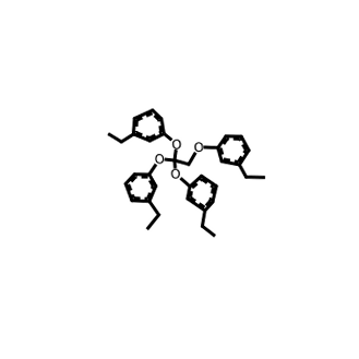 CCc1cccc(OCC(Oc2cccc(CC)c2)(Oc2cccc(CC)c2)Oc2cccc(CC)c2)c1